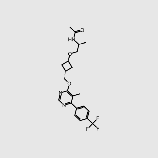 CC(=O)N[C@@H](C)CO[C@H]1C[C@H](COc2ncnc(-c3ccc(C(F)(F)F)cc3)c2C)C1